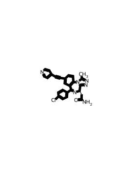 Cc1nnc2n1-c1ccc(C#Cc3ccncc3)cc1C(c1ccc(Cl)cc1)=N[C@H]2CC(N)=O